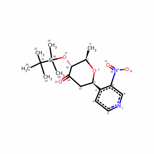 C[C@H]1O[C@@H](c2ccncc2[N+](=O)[O-])CC(=O)[C@@H]1O[Si](C)(C)C(C)(C)C